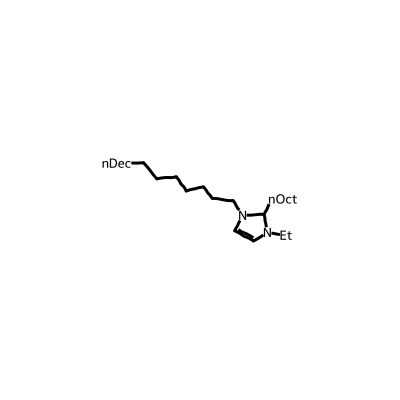 CCCCCCCCCCCCCCCCCN1C=CN(CC)C1CCCCCCCC